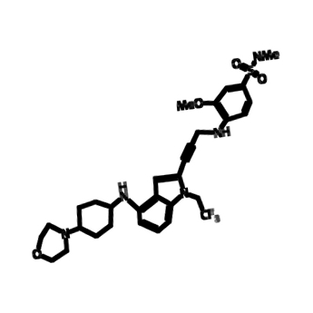 CNS(=O)(=O)c1ccc(NCC#Cc2cc3c(NC4CCC(N5CCOCC5)CC4)cccc3n2CC(F)(F)F)c(OC)c1